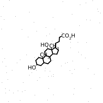 C[C@]12CC[C@@H](O)CC1CCC1C2C[C@H](O)[C@]2(C)C(CCCC(=O)O)CCC12